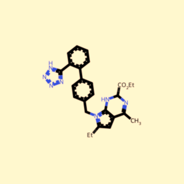 CCOC(=O)C1N=C(C)c2cc(CC)n(Cc3ccc(-c4ccccc4-c4nnn[nH]4)cc3)c2N1